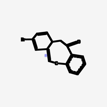 O=C1CC2C=CC(Br)=C/C2=C/Cc2ccccc21